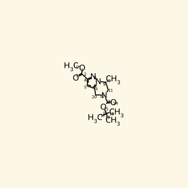 COC(=O)c1cc2n(n1)[C@H](C)CN(C(=O)OC(C)(C)C)C2